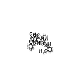 CCn1c(=O)c(C(=O)CN2CCCCC2C(=O)NCc2ccccc2C)c(N)n(Cc2ccccc2)c1=O